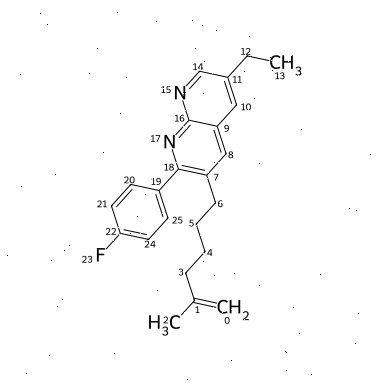 C=C(C)CCCCc1cc2cc(CC)cnc2nc1-c1ccc(F)cc1